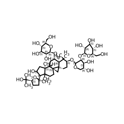 CC(C)(O)[C@@H]1CC[C@](C)([C@H]2[C@@H](O)C[C@@]3(C)[C@@H]4C[C@H](O[C@@H]5O[C@H](CO)[C@@H](O)[C@H](O)[C@H]5O)[C@H]5C(C)(C)[C@@H](O[C@@H]6OC[C@@H](O)[C@H](O)[C@H]6O[C@@H]6O[C@H](CO)[C@@H](O)[C@H](O)[C@H]6O)CC[C@@]56C[C@@]46CC[C@]23C)O1